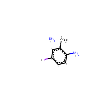 N.Nc1ccc(I)cc1C(=O)O